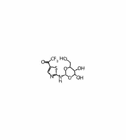 O=C(c1cnc(N[C@@H]2OC(O)[C@H](O)C(CO)O2)s1)C(F)(F)F